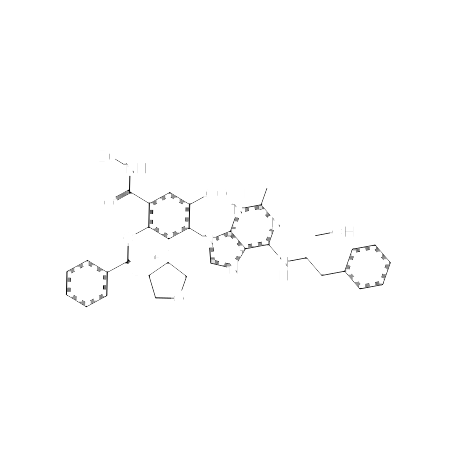 CCNC(=O)c1cc(C(=O)O)c(-n2cnc3c(N[C@H](CO)Cc4ccccc4)nc(I)nc32)c([C@H]2CCOC2)c1OC(=O)c1ccccc1